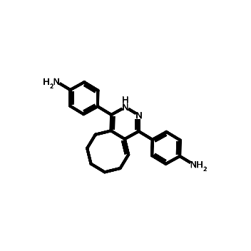 Nc1ccc(C2=NNC(c3ccc(N)cc3)=C3CCCCC/C=C/23)cc1